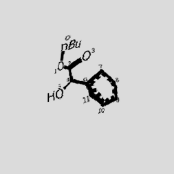 CCCCOC(=O)[C@H](O)c1ccccc1